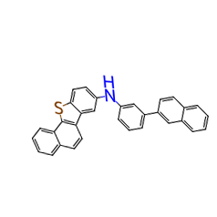 c1cc(Nc2ccc3sc4c5ccccc5ccc4c3c2)cc(-c2ccc3ccccc3c2)c1